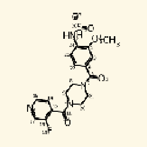 COc1cc(C(=O)N2CCN(C(=O)c3ccncc3F)CC2)ccc1N[SH](=O)=O